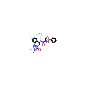 Cl.NC(=O)NCC(NC(=O)c1coc(-c2ccccc2)n1)c1ccc(F)cc1F